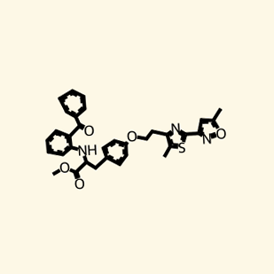 COC(=O)C(Cc1ccc(OCCc2nc(-c3cc(C)on3)sc2C)cc1)Nc1ccccc1C(=O)c1ccccc1